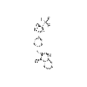 O=c1c2ccccc2ncn1Cc1ccc(-c2noc(C(F)(F)F)n2)cc1